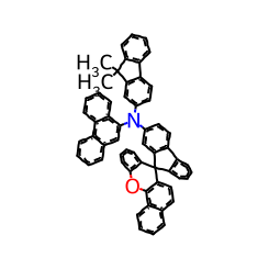 CC1(C)c2ccccc2-c2ccc(N(c3ccc4c(c3)C3(c5ccccc5Oc5c3ccc3ccccc53)c3ccccc3-4)c3cc4ccccc4c4ccccc34)cc21